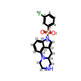 O=S(=O)(c1cccc(F)c1)n1cc2c3c(cccc31)N1CCNCC1C2